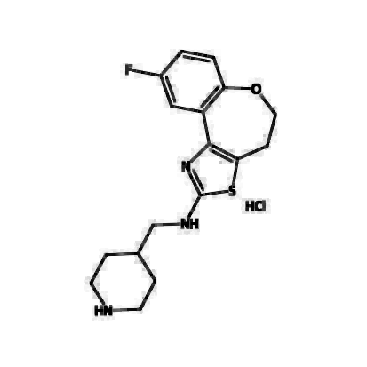 Cl.Fc1ccc2c(c1)-c1nc(NCC3CCNCC3)sc1CCO2